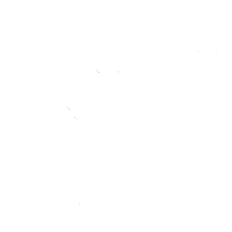 C=C/C=C\C=N/n1c2ccc(-c3ccc4c(c3)-c3ccccc3C4(C)C)cc2c2cc3c4c(c21)CCc1c-4c(cc2c4cc(-c5ccc6c(c5)-c5ccccc5C6(C)C)ccc4n(-c4ccccn4)c12)CC3